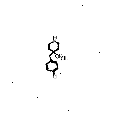 Cl.OC1(Cc2ccc(Cl)cc2)CCNCC1